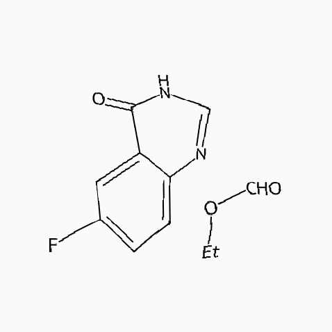 CCOC=O.O=c1[nH]cnc2ccc(F)cc12